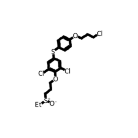 CC[S+]([O-])CCCOc1c(Cl)cc(Sc2ccc(OCCCCl)cc2)cc1Cl